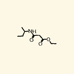 CCOC(=O)CC(=O)NC(C)CC